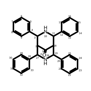 O=C1C2C(c3ccccc3)NC(c3ccccc3)C1C(c1ccccc1)NC2c1ccccc1